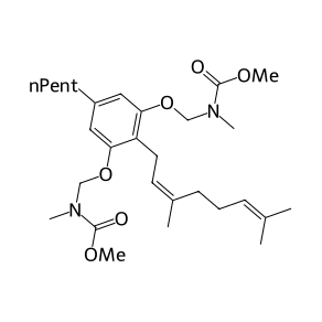 CCCCCc1cc(OCN(C)C(=O)OC)c(CC=C(C)CCC=C(C)C)c(OCN(C)C(=O)OC)c1